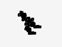 COc1ccc(-n2c(C(=O)N[C@@H]3CCc4cc(OC)ccc43)c3n(c2=O)CCN(C(=O)c2ccc(Br)c(Cl)c2)C3)cc1